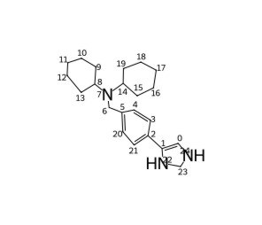 C1=C(c2ccc(CN(C3CCCCC3)C3CCCCC3)cc2)NCN1